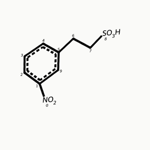 O=[N+]([O-])c1cccc(CCS(=O)(=O)O)c1